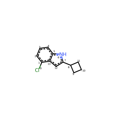 Clc1cccc2[nH]c(C3C[CH]C3)cc12